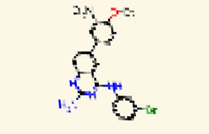 CCOc1ccc(-c2ccc3nc(N)nc(Nc4cccc(Br)c4)c3c2)cc1[N+](=O)[O-]